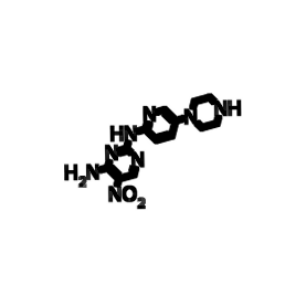 Nc1nc(Nc2ccc(N3CCNCC3)cn2)ncc1[N+](=O)[O-]